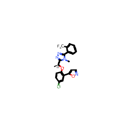 C[C@H](Oc1ccc(Cl)cc1-c1ccno1)c1nnc(-c2ccccc2C(F)(F)F)n1C